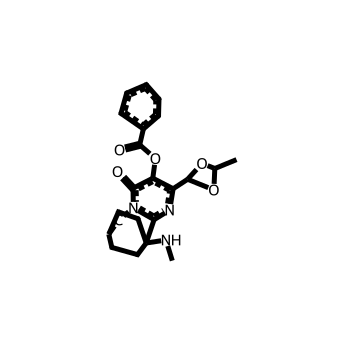 CNC12CCC(CC1)Cn1c2nc(C2OC(C)O2)c(OC(=O)c2ccccc2)c1=O